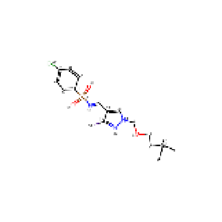 C[Si](C)(C)CCOCn1cc(C=NS(=O)(=O)c2ccc(Cl)cc2)c(I)n1